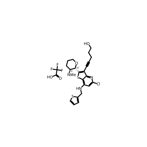 CN[C@H]1CCCO[C@@H]1c1sc2c(NCc3cccs3)cc(Cl)nc2c1C#CCCCO.O=C(O)C(F)(F)F